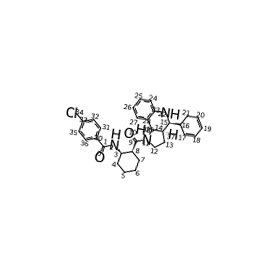 O=C(N[C@@H]1CCCC[C@@H]1C(=O)N1CC[C@@H]2[C@H](C3C=CC=CC3)Nc3ccccc3[C@@H]21)c1ccc(Cl)cc1